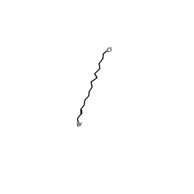 ClCCCCCCCCCCCCC=CCBr